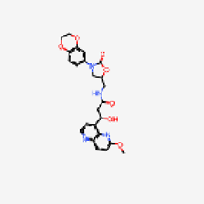 COc1ccc2nccc(C(O)CC(=O)NCC3CN(c4ccc5c(c4)OCCO5)C(=O)O3)c2n1